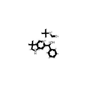 CC(C)(C)OC=O.CC1(C)CNc2cc(C(O)c3ccccc3)ncc21